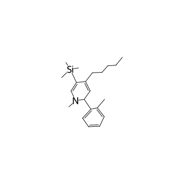 CCCCCC1=CC(c2ccccc2C)N(C)C=C1[Si](C)(C)C